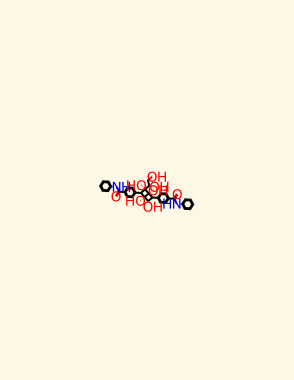 O=C(Nc1ccccc1)c1ccc(C2C(O)[C@@]3(O)C(c4ccc(C(=O)Nc5ccccc5)cc4)[C@@](O)([C@H](O)CO)[C@@]23O)cc1